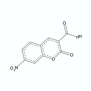 CCCC(=O)c1cc2ccc([N+](=O)[O-])cc2oc1=O